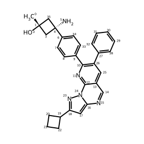 C[C@]1(O)C[C@](N)(c2ccc(-c3nc4c(cnc5cc(C6CCC6)nn54)cc3-c3ccccc3)cc2)C1